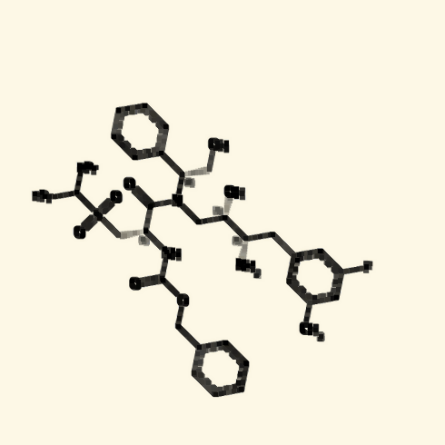 CCCC(CCC)S(=O)(=O)C[C@@H](NC(=O)OCc1ccccc1)C(=O)N(C[C@H](O)[C@@H](N)Cc1cc(C)cc(F)c1)[C@@H](CO)c1ccccc1